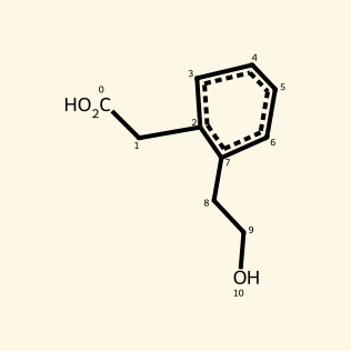 O=C(O)Cc1ccccc1CCO